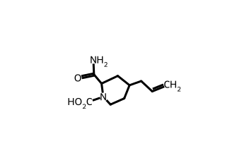 C=CCC1CCN(C(=O)O)C(C(N)=O)C1